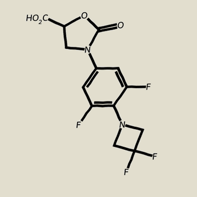 O=C(O)C1CN(c2cc(F)c(N3CC(F)(F)C3)c(F)c2)C(=O)O1